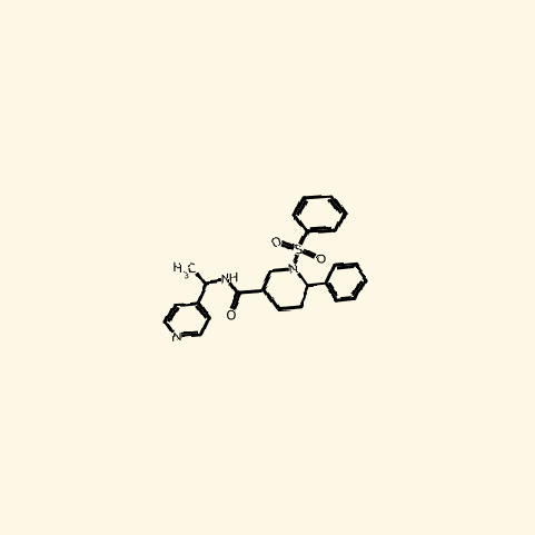 CC(NC(=O)C1CCC(c2ccccc2)N(S(=O)(=O)c2ccccc2)C1)c1ccncc1